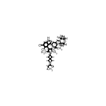 [2H]C1([2H])OC([2H])([2H])C([2H])([2H])N(C[C@@H]2CCN(c3nn(C4CC5(C4)CN(C(=O)C=C)C5)c(C)c3-c3c(Cl)c(Cl)cc4[nH]ncc34)C(C)(C)C2)C1([2H])[2H]